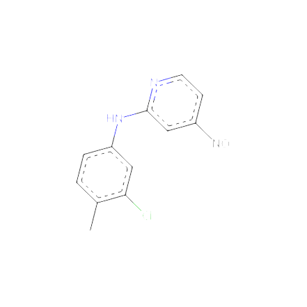 Cc1ccc(Nc2cc(N=O)ccn2)cc1Cl